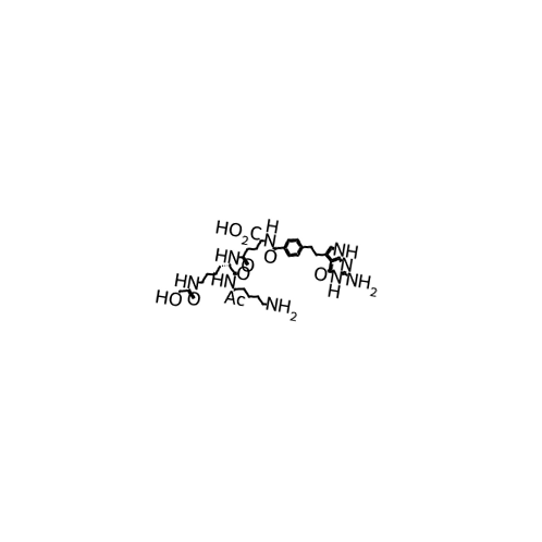 CC(=O)[C@H](CCCCN)NC(=O)[C@H](CCCCNC(=O)CO)NC(=O)CC[C@H](NC(=O)c1ccc(CCc2c[nH]c3nc(N)[nH]c(=O)c23)cc1)C(=O)O